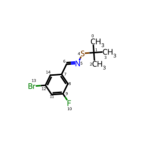 CC(C)(C)SN=Cc1cc(F)cc(Br)c1